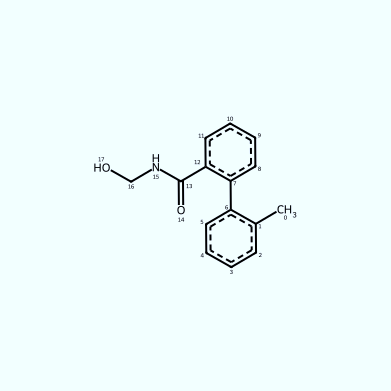 Cc1ccccc1-c1ccccc1C(=O)NCO